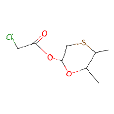 CC1OC(OC(=O)CCl)CSC1C